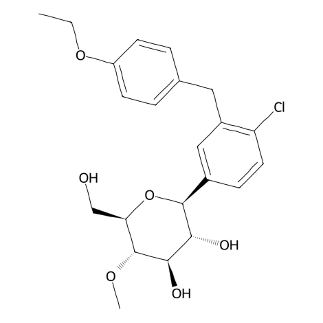 CCOc1ccc(Cc2cc([C@@H]3O[C@H](CO)[C@@H](OC)[C@H](O)[C@H]3O)ccc2Cl)cc1